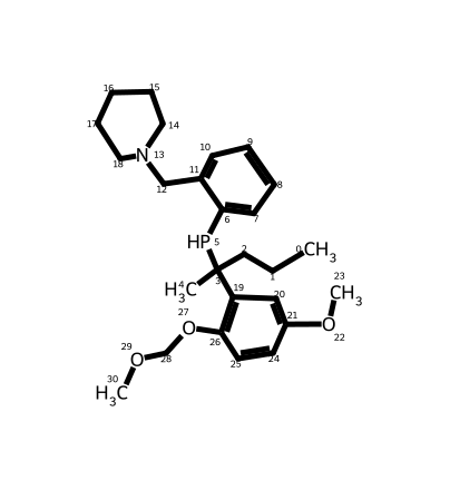 CCCC(C)(Pc1ccccc1CN1CCCCC1)c1cc(OC)ccc1OCOC